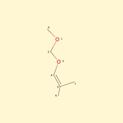 COCOC=C(C)C